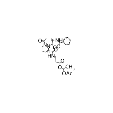 CC(=O)OC(C)OC(=O)CCNC(=O)[C@@H]1CCCN2C(=O)CC[C@H](NC(=O)c3ccccc3)C(=O)N12